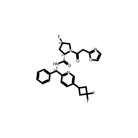 O=C(N[C@@H](c1ccccc1)c1ccc(C2CC(F)(F)C2)cn1)[C@@H]1C[C@@H](F)CN1C(=O)Cc1ncco1